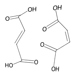 O=C(O)/C=C/C(=O)O.O=C(O)/C=C\C(=O)O